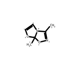 CC1=NOC2(C)OC=CN12